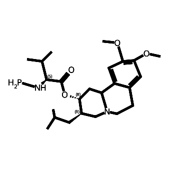 COc1cc2c(cc1OC)C1C[C@@H](OC(=O)[C@@H](NP)C(C)C)[C@H](CC(C)C)CN1CC2